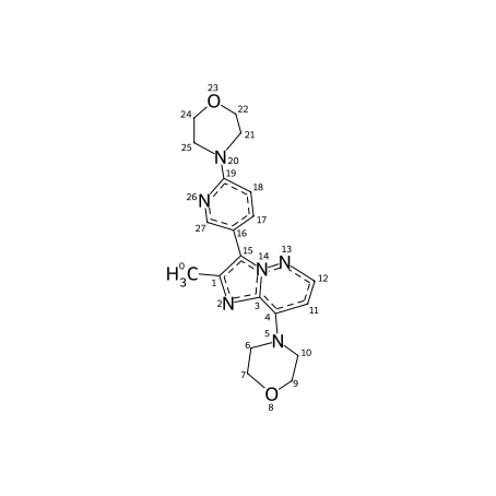 Cc1nc2c(N3CCOCC3)ccnn2c1-c1ccc(N2CCOCC2)nc1